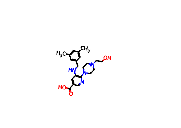 Cc1cc(C)cc(CNc2cc(C(=O)O)cnc2N2CCN(CCO)CC2)c1